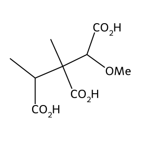 COC(C(=O)O)C(C)(C(=O)O)C(C)C(=O)O